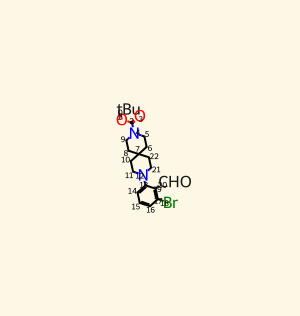 CC(C)(C)OC(=O)N1CCC2(CC1)CCN(c1cccc(Br)c1C=O)CC2